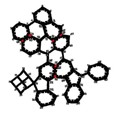 c1ccc(-c2cccc3cccc(-c4ccccc4N(c4ccc5c(c4)C4(c6ccccc6-5)C5CC6CC7CC4C675)c4ccccc4-c4ccc5c6ccccc6n(-c6ccccc6)c5c4)c23)cc1